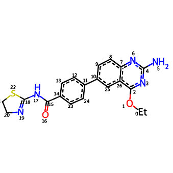 CCOc1nc(N)nc2ccc(-c3ccc(C(=O)NC4=NCCS4)cc3)cc12